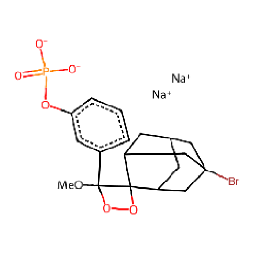 COC1(c2cccc(OP(=O)([O-])[O-])c2)OOC12C1CC3CC2CC(Br)(C3)C1.[Na+].[Na+]